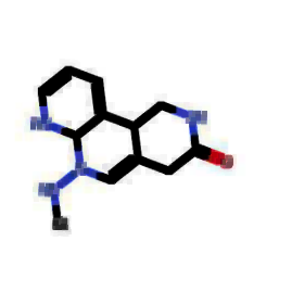 CCNN1C=C2CC(=O)NCC2C2=CC=CNC21